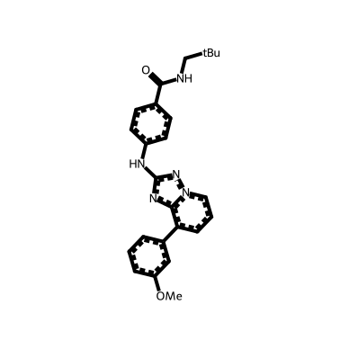 COc1cccc(-c2cccn3nc(Nc4ccc(C(=O)NCC(C)(C)C)cc4)nc23)c1